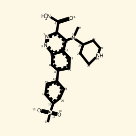 CN(c1c(C(N)=O)nnc2cc(-c3ccc(S(C)(=O)=O)cc3)ccc12)C1CCNCC1